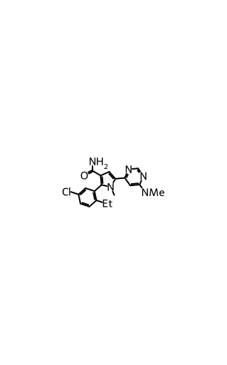 CCc1ccc(Cl)cc1-c1c(C(N)=O)cc(-c2cc(NC)ncn2)n1C